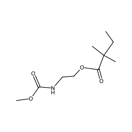 CCC(C)(C)C(=O)OCCNC(=O)OC